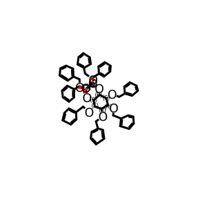 c1ccc(CO[C@@H]2[C@@H](OCc3ccccc3)[C@H](OCc3ccccc3)[C@H](OP(OCc3ccccc3)OCc3ccccc3)[C@H](OP(OCc3ccccc3)OCc3ccccc3)[C@H]2OCc2ccccc2)cc1